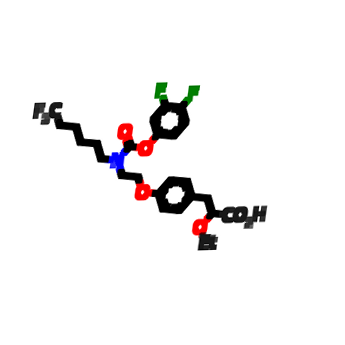 CCOC(Cc1ccc(OCCN(CCCCCC(F)(F)F)C(=O)Oc2ccc(F)c(F)c2)cc1)C(=O)O